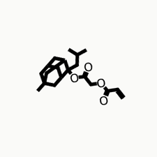 C=CC(=O)OCC(=O)OC1(CC(C)C)C2CC3CC1CC(C)(C3)C2